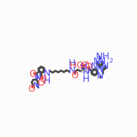 CN1C(=O)CCC(N2C(=O)c3cccc(NCCCCCCCCNC(=O)CC[C@H](NC(=O)c4ccc(N(C)Cc5cnc6nc(N)nc(N)c6n5)cc4)C(=O)O)c3C2=O)C1=O